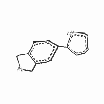 c1c[nH]c(-c2ccc3c(c2)CNC3)c1